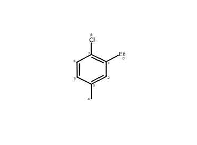 CCc1cc(C)ccc1Cl